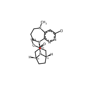 CN1CCCN([C@@H]2C[C@H]3CC[C@@H](C2)N3C(=O)OC(C)(C)C)c2nnc(Cl)cc21